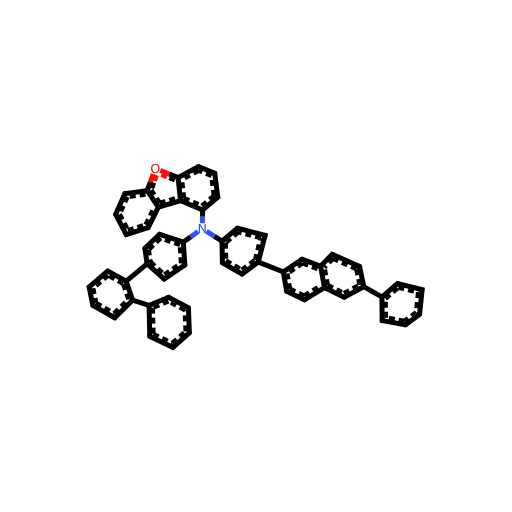 c1ccc(-c2ccc3cc(-c4ccc(N(c5ccc(-c6ccccc6-c6ccccc6)cc5)c5cccc6oc7ccccc7c56)cc4)ccc3c2)cc1